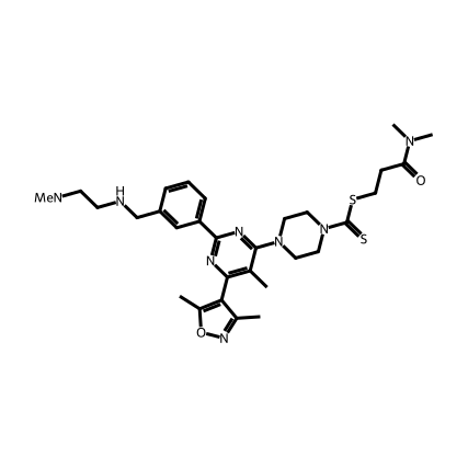 CNCCNCc1cccc(-c2nc(-c3c(C)noc3C)c(C)c(N3CCN(C(=S)SCCC(=O)N(C)C)CC3)n2)c1